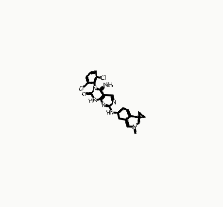 CN1C=C2CC(Nc3ncc4c(=N)n(-c5c(Cl)cccc5Cl)c(=O)[nH]c4n3)=CC=C2C2(CC2)C1